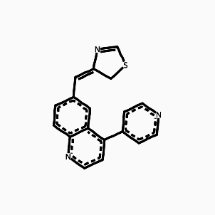 C1=NC(=Cc2ccc3nccc(-c4ccncc4)c3c2)CS1